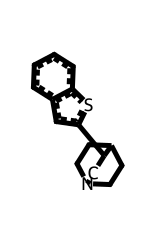 c1ccc2sc(C3CN4CCC3CC4)cc2c1